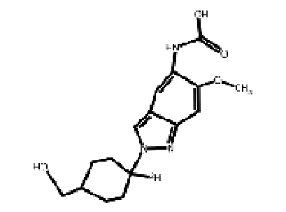 [2H]C1(n2cc3cc(NC(=O)O)c(OC)cc3n2)CCC(CO)CC1